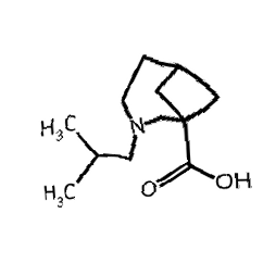 CC(C)CN1CCC2CC1(C(=O)O)C2